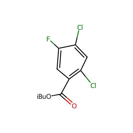 CC(C)COC(=O)c1cc(F)c(Cl)cc1Cl